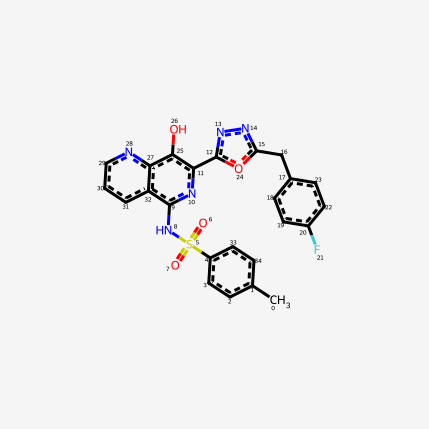 Cc1ccc(S(=O)(=O)Nc2nc(-c3nnc(Cc4ccc(F)cc4)o3)c(O)c3ncccc23)cc1